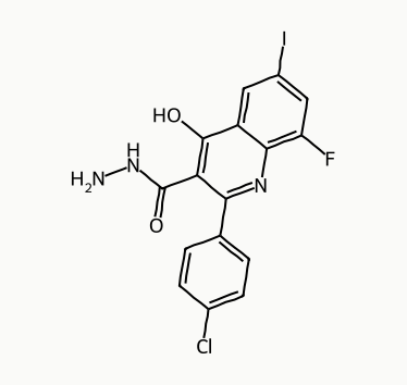 NNC(=O)c1c(-c2ccc(Cl)cc2)nc2c(F)cc(I)cc2c1O